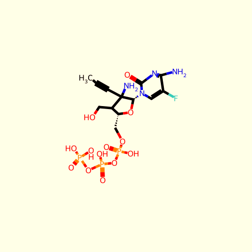 CC#CC1(N)C(CO)[C@@H](COP(=O)(O)OP(=O)(O)OP(=O)(O)O)O[C@H]1n1cc(F)c(N)nc1=O